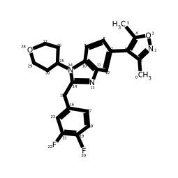 Cc1noc(C)c1-c1ccc2c(c1)nc(Cc1ccc(F)c(F)c1)n2C1CCOCC1